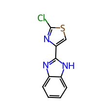 Clc1nc(-c2nc3ccccc3[nH]2)cs1